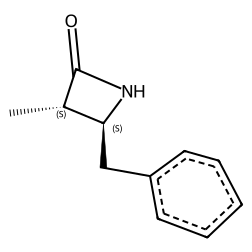 C[C@@H]1C(=O)N[C@H]1Cc1ccccc1